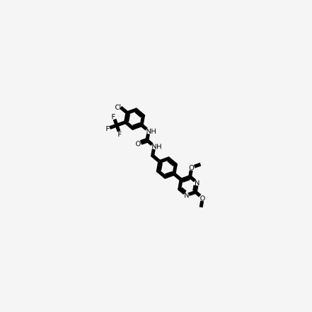 COc1ncc(-c2ccc(CNC(=O)Nc3ccc(Cl)c(C(F)(F)F)c3)cc2)c(OC)n1